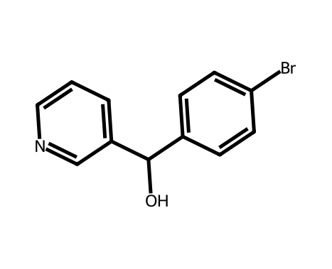 OC(c1ccc(Br)cc1)c1cccnc1